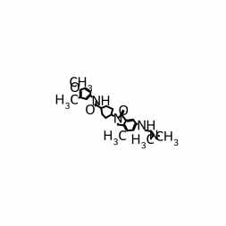 COc1ccc(NC(=O)C2CCC(N3Cc4c(C)cc(NCCN(C)C)cc4C3=O)CC2)cc1C